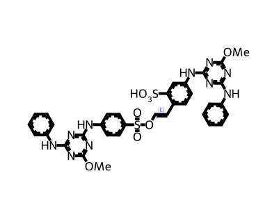 COc1nc(Nc2ccccc2)nc(Nc2ccc(S(=O)(=O)O/C=C/c3ccc(Nc4nc(Nc5ccccc5)nc(OC)n4)cc3S(=O)(=O)O)cc2)n1